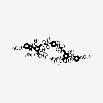 CCCCCCCCc1ccc2nn(-c3cc(C(C)(C)CCCCC)cc(CNC(=O)C(=O)Nc4ccc(NC(=O)C(=O)NCc5cc(C(C)(C)CCCCC)cc(-n6nc7ccc(CCCCCCCC)cc7n6)c5O)cc4)c3O)nc2c1